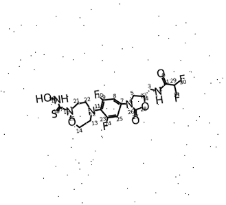 O=C(NC[C@H]1CN(c2cc(F)c(N3CCON(C(=S)NO)CC3)c(F)c2)C(=O)O1)C(F)F